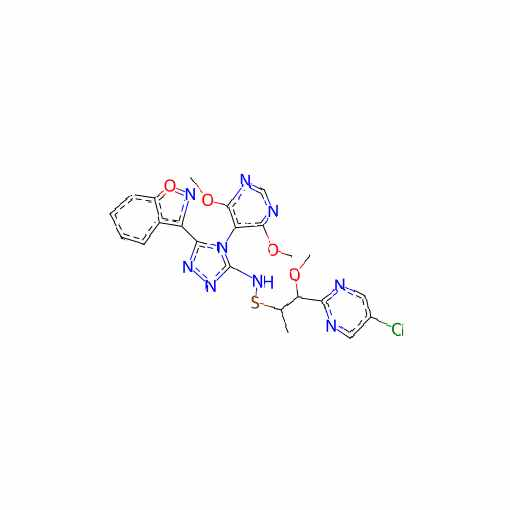 COc1ncnc(OC)c1-n1c(NSC(C)C(OC)c2ncc(Cl)cn2)nnc1-c1noc2ccccc12